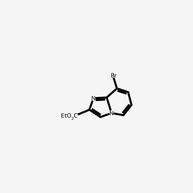 CCOC(=O)c1cn2cccc(Br)c2n1